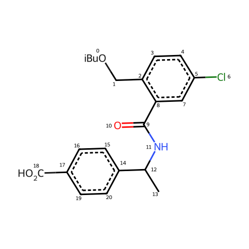 CC(C)COCc1ccc(Cl)cc1C(=O)NC(C)c1ccc(C(=O)O)cc1